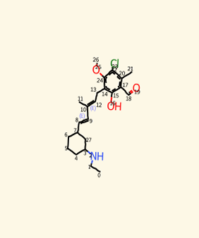 CCNC1CCCC(/C=C/C(C)=C/Cc2c(O)c(C=O)c(C)c(Cl)c2OC)C1